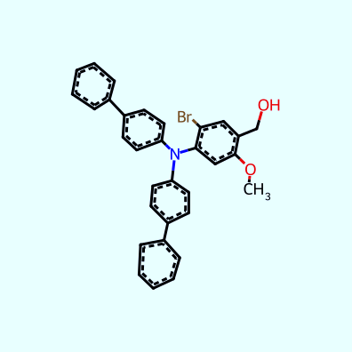 COc1cc(N(c2ccc(-c3ccccc3)cc2)c2ccc(-c3ccccc3)cc2)c(Br)cc1CO